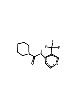 O=C(Nc1ccncc1C(F)(F)F)N1CCCCC1